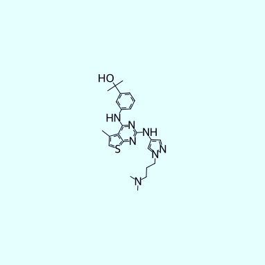 Cc1csc2nc(Nc3cnn(CCCN(C)C)c3)nc(Nc3cccc(C(C)(C)O)c3)c12